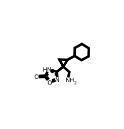 NCC1(c2noc(=O)[nH]2)CC1C1CCCCC1